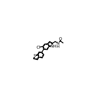 CC(=O)NCc1cc2cc(Cl)c(-c3ccc4ccsc4c3)cc2[nH]1